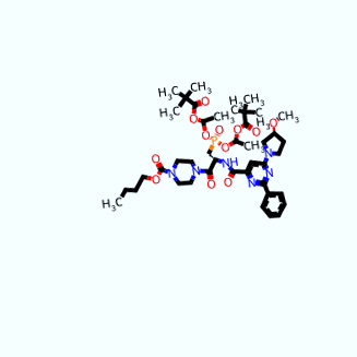 CCCCOC(=O)N1CCN(C(=O)[C@H](CP(=O)(OC(C)OC(=O)C(C)(C)C)OC(C)OC(=O)C(C)(C)C)NC(=O)c2cc(N3CC[C@H](OC)C3)nc(-c3ccccc3)n2)CC1